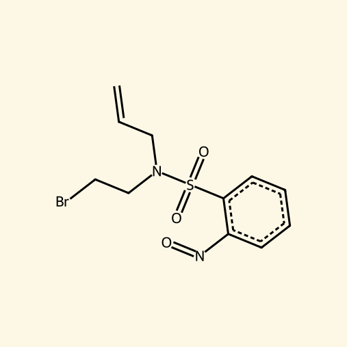 C=CCN(CCBr)S(=O)(=O)c1ccccc1N=O